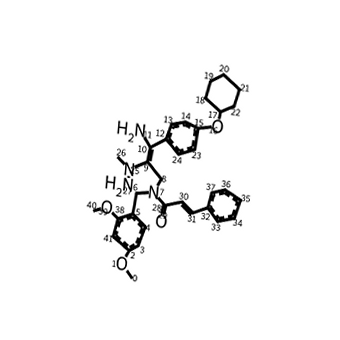 COc1ccc(CN(C/C(=C(/N)c2ccc(OC3CCCCC3)cc2)N(C)N)C(=O)/C=C/c2ccccc2)c(OC)c1